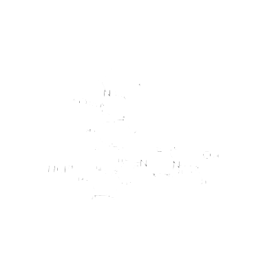 CCN(CC)C(=O)c1ccc(C(c2ccccc2)N2CCN(C(C)=O)CC2)cc1.Cl